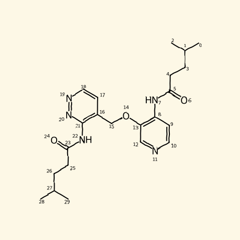 CC(C)CCC(=O)Nc1ccncc1OCc1ccnnc1NC(=O)CCC(C)C